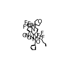 C=CCC[C@@](OCc1ccccc1)(c1nnc(-c2nc(NC3(CC=C)CCOCC3)c(C(F)(F)F)cc2[N+](=O)[O-])o1)C(F)(F)F